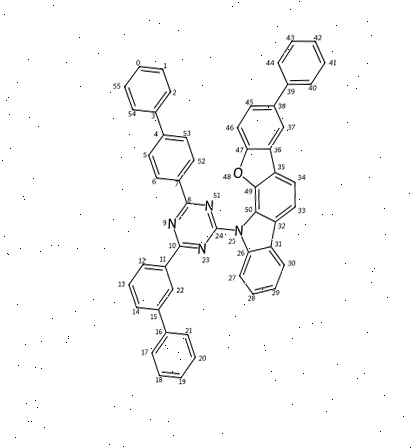 c1ccc(-c2ccc(-c3nc(-c4cccc(-c5ccccc5)c4)nc(-n4c5ccccc5c5ccc6c7cc(-c8ccccc8)ccc7oc6c54)n3)cc2)cc1